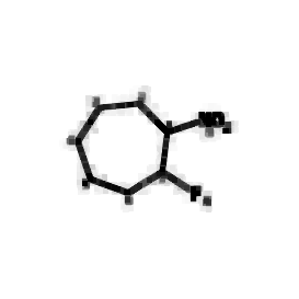 O=[N+]([O-])C1CCCCCC1F